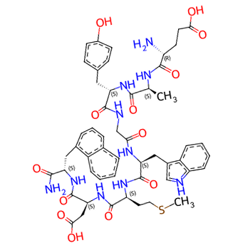 CSCC[C@H](NC(=O)[C@H](Cc1c[nH]c2ccccc12)NC(=O)CNC(=O)[C@H](Cc1ccc(O)cc1)NC(=O)[C@H](C)NC(=O)[C@H](N)CCC(=O)O)C(=O)N[C@@H](CC(=O)O)C(=O)N[C@@H](Cc1cccc2ccccc12)C(N)=O